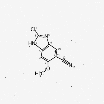 COc1cc2[nH]c(Cl)nc2cc1C#N